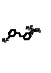 Cc1cccc(CCc2cccc([SiH](C)C)c2)c1